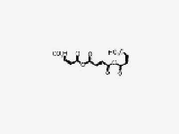 O=C(O)/C=C\C(=O)OC(=O)/C=C/C(=O)OC(=O)/C=C\C(=O)O